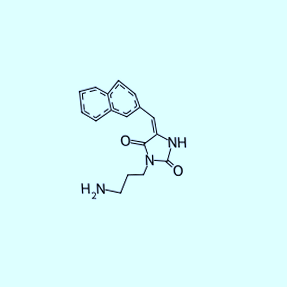 NCCCN1C(=O)NC(=Cc2ccc3ccccc3c2)C1=O